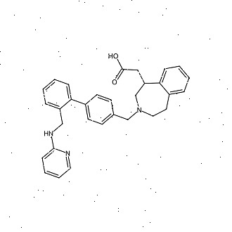 O=C(O)CC1CN(Cc2ccc(-c3ccccc3CNc3ccccn3)cc2)CCc2ccccc21